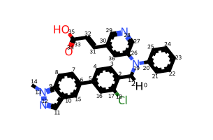 [2H]C(c1ccc(-c2ccc3c(cnn3C)c2)cc1Cl)N(c1ccccc1)c1cncc(/C=C/C(=O)O)c1